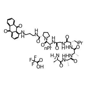 CCC[C@H](NC(=O)CNC(=O)[C@H](CC(C)C)NC(=O)[C@H](C)NC(=O)[C@H](C)NC(=O)[C@@H](C)N)C(=O)N1CCC[C@H]1C(=O)NCCCNc1cccc2c1C(=O)c1ccccc1C2=O.O=C(O)C(F)(F)F